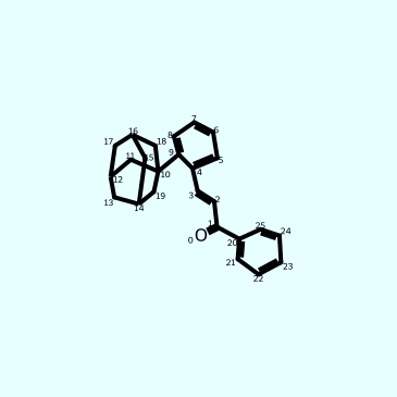 O=C(C=Cc1ccccc1C12CC3CC(CC(C3)C1)C2)c1ccccc1